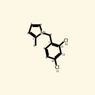 Cc1cccn1Cc1ccc(Cl)cc1Cl